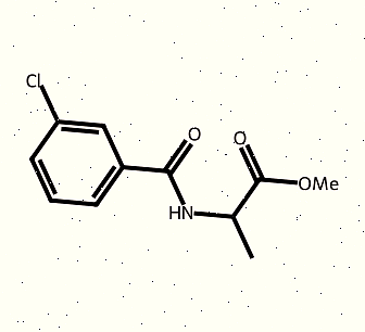 COC(=O)C(C)NC(=O)c1cccc(Cl)c1